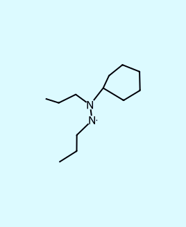 CCC[N]N(CCC)C1CCCCC1